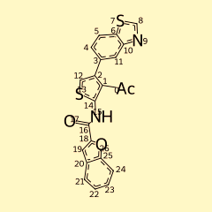 CC(=O)c1c(-c2ccc3scnc3c2)csc1NC(=O)c1cc2ccccc2o1